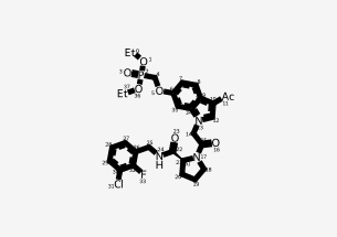 CCOP(=O)(COc1ccc2c(C(C)=O)cn(CC(=O)N3CCC[C@H]3C(=O)NCc3cccc(Cl)c3F)c2c1)OCC